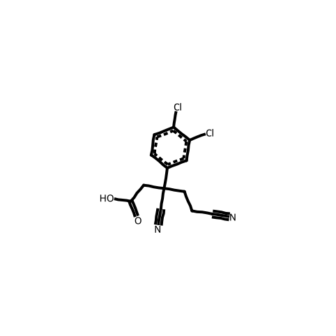 N#CCCC(C#N)(CC(=O)O)c1ccc(Cl)c(Cl)c1